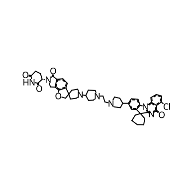 O=C1CC[C@H](N2Cc3c(ccc4c3OCC43CCN(C4CCN(CCN5CCC(c6ccc7c(c6)C6(CCCCC6)c6nc(=O)c8c(Cl)cccc8n6-7)CC5)CC4)CC3)C2=O)C(=O)N1